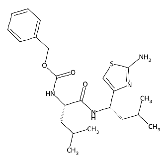 CC(C)C[C@H](NC(=O)OCc1ccccc1)C(=O)N[C@@H](CC(C)C)c1csc(N)n1